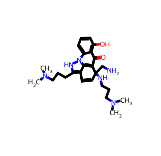 CN(C)CCCNC1(CN)C=Cc2c(CCCN(C)C)[nH]n3c2c1c(=O)c1c(O)cccc13